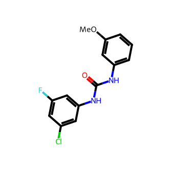 COc1cccc(NC(=O)Nc2cc(F)cc(Cl)c2)c1